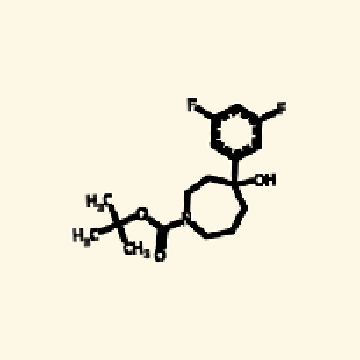 CC(C)(C)OC(=O)N1CCCC(O)(c2cc(F)cc(F)c2)CC1